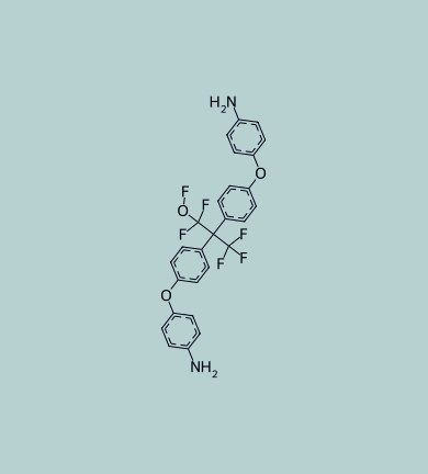 Nc1ccc(Oc2ccc(C(c3ccc(Oc4ccc(N)cc4)cc3)(C(F)(F)F)C(F)(F)OF)cc2)cc1